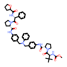 COC(=O)N[C@H](C(=O)N1CCC[C@H]1C(=O)Nc1ccc(CN(Cc2ccc(NC(=O)[C@@H]3CCCN3C(=O)[C@H](NC(=O)C3CCCO3)c3ccccc3)cc2)c2ccccc2)cc1)C(C)(C)C